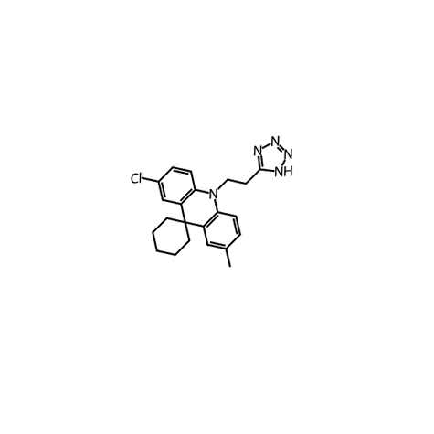 Cc1ccc2c(c1)C1(CCCCC1)c1cc(Cl)ccc1N2CCc1nnn[nH]1